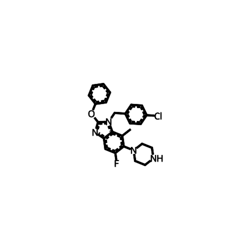 Cc1c(N2CCNCC2)c(F)cc2nc(Oc3ccccc3)n(Cc3ccc(Cl)cc3)c12